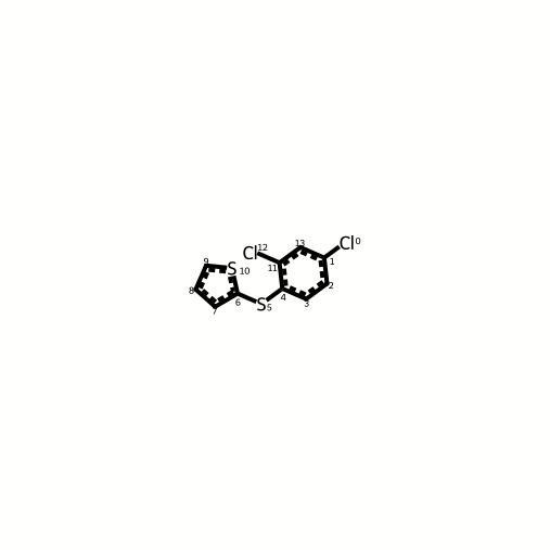 Clc1ccc(Sc2cccs2)c(Cl)c1